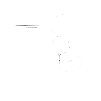 CC(=O)NC(C#CO)B1OC2C[C@@H]3C[C@H](C2O1)C3(C)C